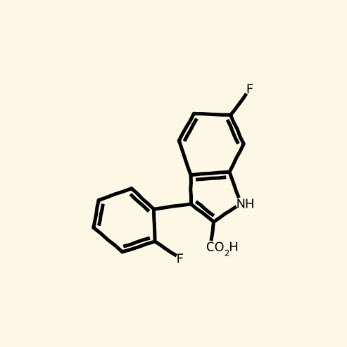 O=C(O)c1[nH]c2cc(F)ccc2c1-c1ccccc1F